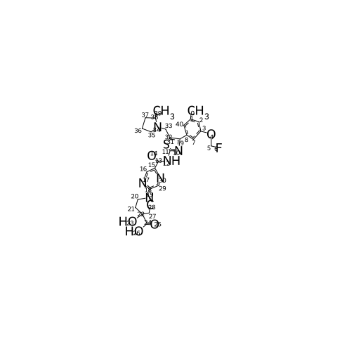 Cc1cc(OCF)cc(-c2nc(NC(=O)c3cnc(N4CCC(O)(C(=O)O)CC4)cn3)sc2CN2CCC[C@H]2C)c1